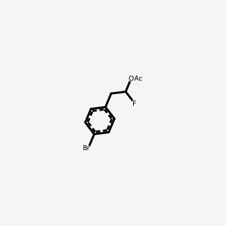 CC(=O)OC(F)Cc1ccc(Br)cc1